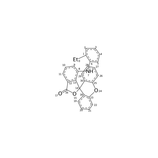 CCc1ccccc1Nc1cccc2c1C1(OC2=O)c2ccccc2Oc2ccccc21